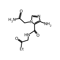 CCC(=O)CNC(=O)c1c(N)ncn1CC(N)=O